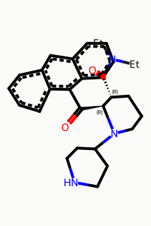 CCN(CC)C(=O)[C@@H]1CCCN(C2CCNCC2)[C@H]1C(=O)c1c2ccccc2cc2ccccc12